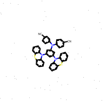 N#Cc1ccc(N(c2ccc(C#N)cc2)c2cc(N3c4ccccc4Sc4ccccc43)cc(N3c4ccccc4Sc4ccccc43)c2)cc1